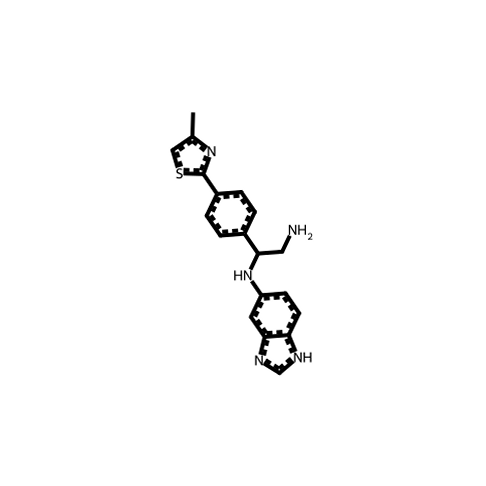 Cc1csc(-c2ccc(C(CN)Nc3ccc4[nH]cnc4c3)cc2)n1